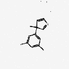 Cc1cc(C)cc(C2(C)C=CN=C2)c1